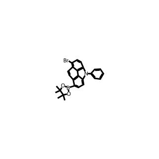 CC1(C)OB(c2ccc3c4c2ccc2c(Br)ccc(c24)n3-c2ccccc2)OC1(C)C